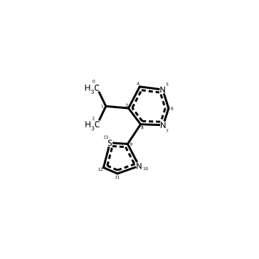 CC(C)c1cncnc1-c1nccs1